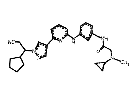 CN(CC(=O)Nc1cccc(Nc2nccc(-c3cnn(C(CC#N)C4CCCC4)c3)n2)c1)C1CC1